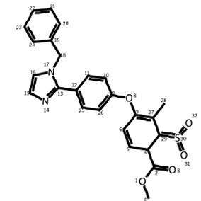 COC(=O)C1C=CC(Oc2ccc(-c3nccn3Cc3ccccc3)cc2)=C(C)C1=S(=O)=O